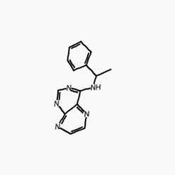 CC(Nc1ncnc2nccnc12)c1ccccc1